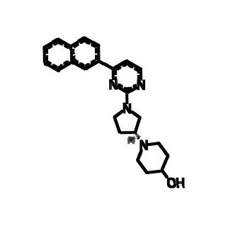 OC1CCN([C@@H]2CCN(c3nccc(-c4ccc5ccccc5c4)n3)C2)CC1